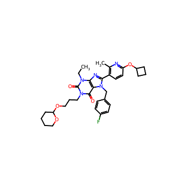 CCn1c(=O)n(CCCOC2CCCCO2)c(=O)c2c1nc(-c1ccc(OC3CCC3)nc1C)n2Cc1ccc(F)cc1